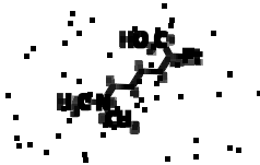 CCC(CCCCN(C)C)C(=O)O